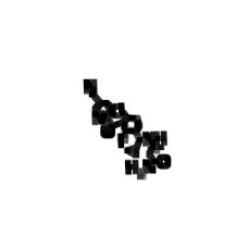 C[C@@H](CC(N)=O)NC(c1ccc(Cl)c(C(=O)c2ccc(C#N)cn2)c1F)C1CC1